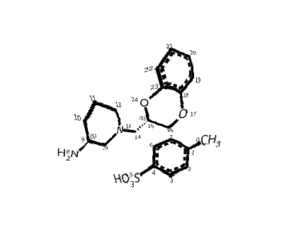 Cc1ccc(S(=O)(=O)O)cc1.N[C@H]1CCCN(C[C@H]2COc3ccccc3O2)C1